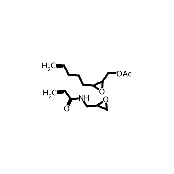 C=CC(=O)NCC1CO1.C=CCCCC1OC1COC(C)=O